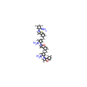 Cc1cc(C)c(N)c(-n2ccc3c4cc(Cc5cc(C)c(N)c(-n6ccc7c8cc(Cc9cc(C)c(N)c(-n%10ccc%11oc%12ccccc%12c%11%10)c9)ccc8oc76)c5)ccc4sc32)c1